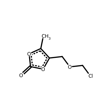 Cc1oc(=O)oc1COCCl